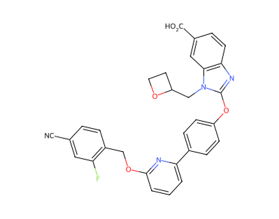 N#Cc1ccc(COc2cccc(-c3ccc(Oc4nc5ccc(C(=O)O)cc5n4CC4CCO4)cc3)n2)c(F)c1